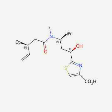 C=C[C@@H](CC)CC(=O)N(C)[C@H](C[C@@H](O)c1nc(C(=O)O)cs1)C(C)C